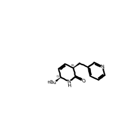 CCCC[C@H]1C=C[C@@H](Cc2cccnc2)C(=O)N1